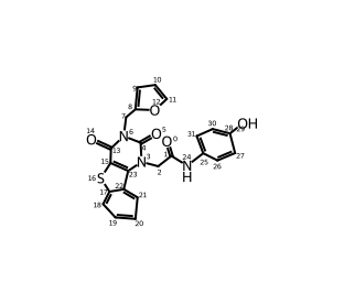 O=C(Cn1c(=O)n(Cc2ccco2)c(=O)c2sc3ccccc3c21)Nc1ccc(O)cc1